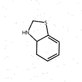 C1=CCC2NCSC2=C1